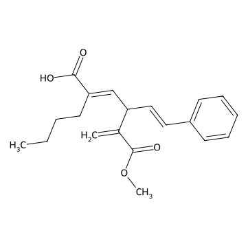 C=C(C(=O)OC)C(C=Cc1ccccc1)C=C(CCCC)C(=O)O